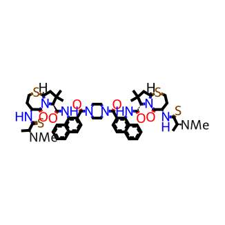 CN[C@@H](C)C(=S)N[C@H]1CCS[C@H]2CC(C)(C)[C@@H](C(=O)Nc3c(C(=O)N4CCN(C(=O)c5ccc6ccccc6c5NC(=O)[C@H]5N6C(=O)[C@@H](NC(=S)[C@H](C)NC)CCS[C@H]6CC5(C)C)CC4)ccc4ccccc34)N2C1=O